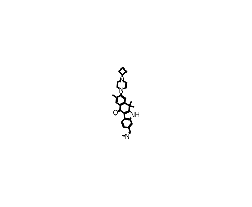 C/N=C\c1ccc2c3c([nH]c2c1)C(C)(C)c1cc(N2CCN(C4CCC4)CC2)c(C)cc1C3=O